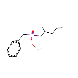 CCCOP(=O)(Cc1ccccc1)CC(CCC(=O)O)C(=O)O